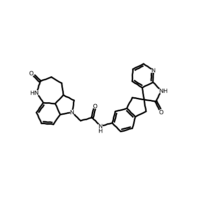 O=C1CCC2CN(CC(=O)Nc3ccc4c(c3)CC3(C4)C(=O)Nc4ncccc43)C3C=CC=C(N1)C23